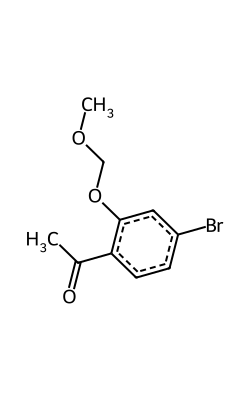 COCOc1cc(Br)ccc1C(C)=O